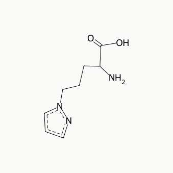 NC(CCCn1cccn1)C(=O)O